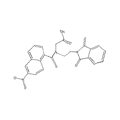 O=C(O)CN(CCN1C(=O)c2ccccc2C1=O)C(=O)c1cccc2cc([N+](=O)[O-])ccc12